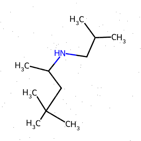 CC(C)CNC(C)CC(C)(C)C